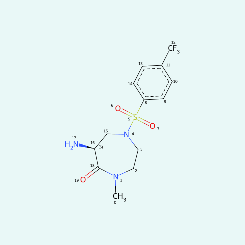 CN1CCN(S(=O)(=O)c2ccc(C(F)(F)F)cc2)C[C@H](N)C1=O